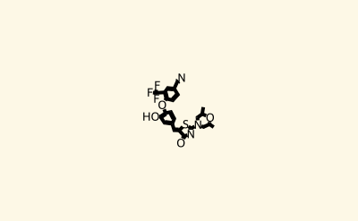 CC1CN(C2=NC(=O)/C(=C/c3ccc(Oc4ccc(C#N)cc4C(F)(F)F)c(O)c3)S2)CC(C)O1